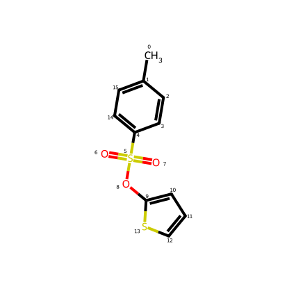 Cc1ccc(S(=O)(=O)Oc2cccs2)cc1